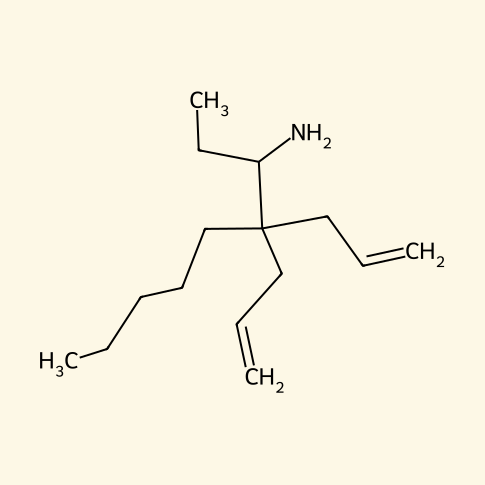 C=CCC(CC=C)(CCCCC)C(N)CC